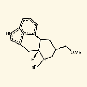 CCCN1C[C@H](COC)CC2c3cccc4[nH]cc(c34)C[C@H]21